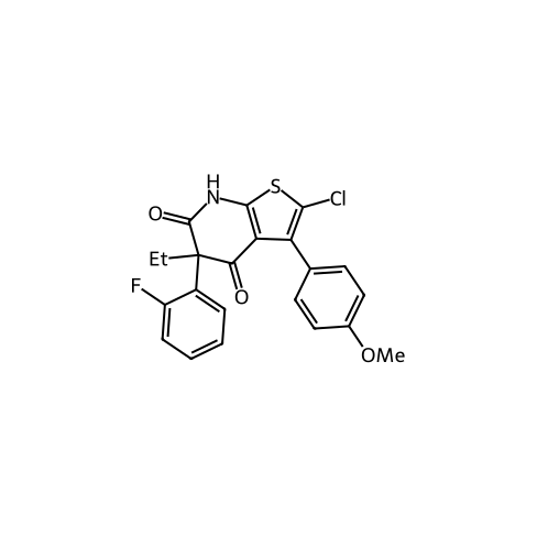 CCC1(c2ccccc2F)C(=O)Nc2sc(Cl)c(-c3ccc(OC)cc3)c2C1=O